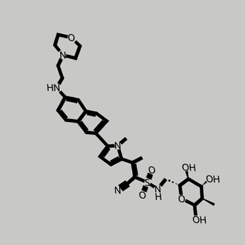 C/C(=C(/C#N)S(=O)(=O)NC[C@H]1OC(O)[C@H](C)[C@@H](O)[C@@H]1O)c1ccc(-c2ccc3cc(NCCN4CCOCC4)ccc3c2)n1C